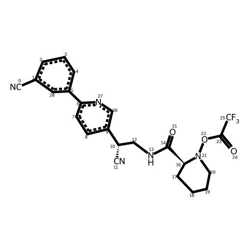 N#Cc1cccc(-c2ccc([C@@H](C#N)CNC(=O)[C@@H]3CCCCN3OC(=O)C(F)(F)F)cn2)c1